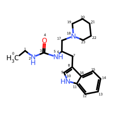 CCNC(=O)NC(Cc1c[nH]c2ccccc12)CN1CC[CH]CC1